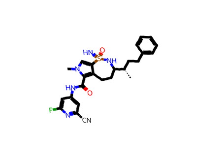 C[C@@H](CCc1ccccc1)C1CCc2c(cn(C)c2C(=O)Nc2cc(F)nc(C#N)c2)S(=N)(=O)N1